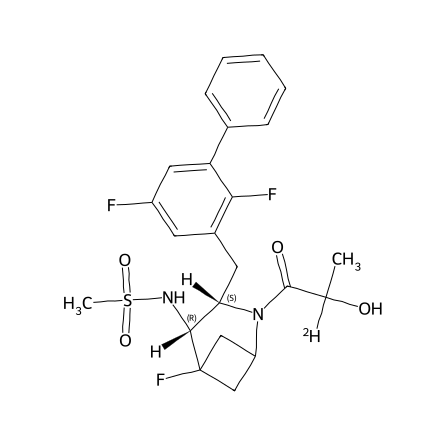 [2H]C(C)(O)C(=O)N1C2CC(F)(C2)[C@H](NS(C)(=O)=O)[C@@H]1Cc1cc(F)cc(-c2ccccc2)c1F